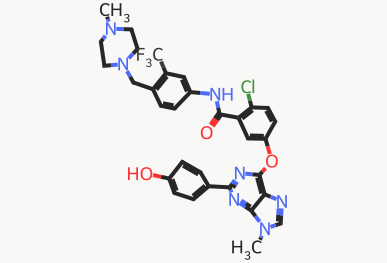 CN1CCN(Cc2ccc(NC(=O)c3cc(Oc4nc(-c5ccc(O)cc5)nc5c4ncn5C)ccc3Cl)cc2C(F)(F)F)CC1